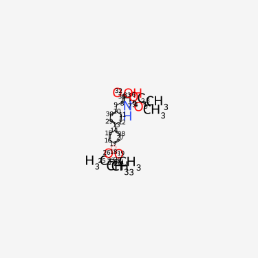 CC(C)(C)OC(=O)NC(Cc1ccc(-c2ccc(B3OC(C)(C)C(C)(C)O3)cc2)cc1)C(=O)O